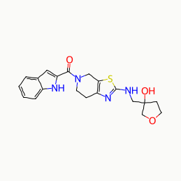 O=C(c1cc2ccccc2[nH]1)N1CCc2nc(NCC3(O)CCOC3)sc2C1